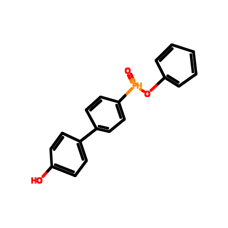 O=[PH](Oc1ccccc1)c1ccc(-c2ccc(O)cc2)cc1